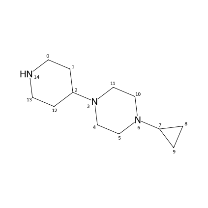 C1CC(N2CCN(C3CC3)CC2)CCN1